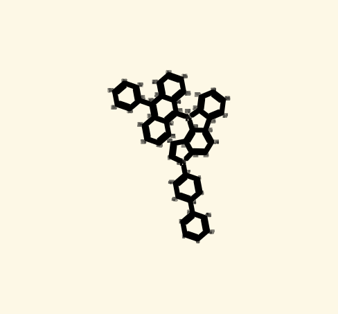 c1ccc(-c2ccc(-n3ccc4c3ccc3c5ccccc5n(-c5c6ccccc6c(-c6ccccc6)c6ccccc56)c34)cc2)cc1